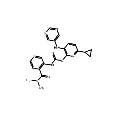 CN(C)C(=O)c1ccncc1NC(=O)Oc1nc(C2CC2)ccc1Nc1cncnc1